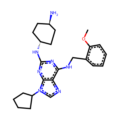 COc1ccccc1CNc1nc(N[C@H]2CC[C@H](N)CC2)nc2c1ncn2C1CCCC1